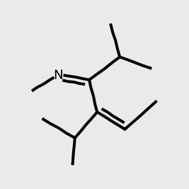 C/C=C(\C(=N/C)C(C)C)C(C)C